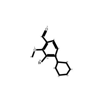 COc1c(C=O)ccc(C2CCCCC2)c1Br